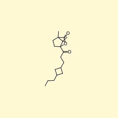 CCCC1CC(CCC(=O)C23CCC(C)(C(=O)O2)C3(C)C)C1